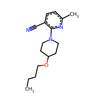 CCCCOC1CCN(c2nc(C)ccc2C#N)CC1